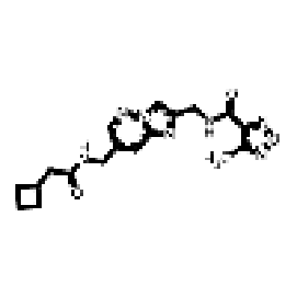 Cc1nonc1C(=O)NCc1cn2ncc(CNC(=O)CC3CCC3)cc2n1